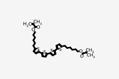 C=C(C)C(=O)OCCCCCCc1ccc(-c2ccc(-c3ccc(-c4ccc(CCCCCCOC(=O)C(=C)C)s4)s3)s2)s1